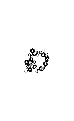 O=C1CCC(c2ccnc(N3CCC(CN4CCC(C(=O)N5CCC(NC(=O)C6(Oc7ccccc7-c7nc8cccc(Cl)c8s7)CCN(C(=O)[C@H]7CC(=O)Nc8ccccc87)CC6)CC5)CC4)CC3)c2)C(=O)N1